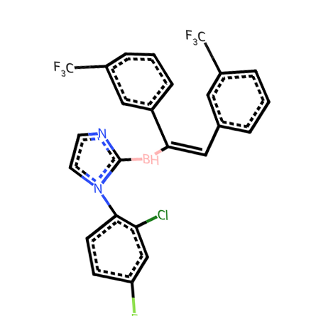 Fc1ccc(-n2ccnc2BC(=Cc2cccc(C(F)(F)F)c2)c2cccc(C(F)(F)F)c2)c(Cl)c1